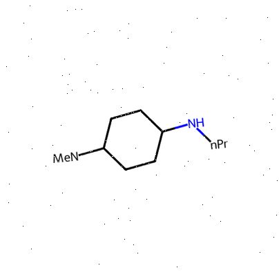 CCCNC1CCC(NC)CC1